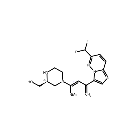 C=C(/C=C(\NC)N1CCN[C@H](CO)C1)c1cnc2ccc(C(F)F)nn12